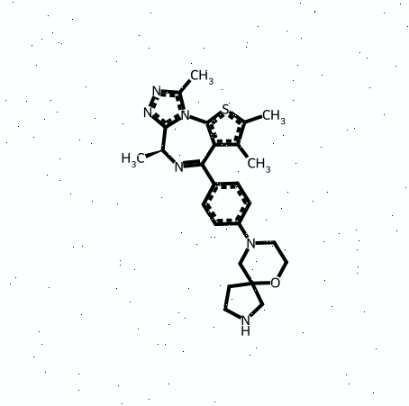 Cc1sc2c(c1C)C(c1ccc(N3CCOC4(CCNC4)C3)cc1)=N[C@@H](C)c1nnc(C)n1-2